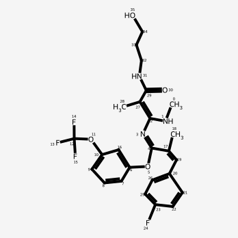 CNC(/N=C(Oc1cccc(OC(F)(F)F)c1)\C(C)=C/c1ccc(F)cc1)=C(/C)C(=O)NCCCO